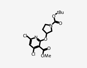 COC(=O)c1c(Cl)cc(Cl)nc1OC1CCN(C(=O)OC(C)(C)C)C1